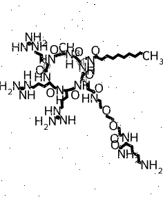 CCCCCCCCCC(=O)NC[C@@H]1NC(=O)[C@H](CCC(=O)NCCOCCOCC(=O)NC(CCCCN)C(N)=O)NC(=O)C(CCCNC(=N)N)NC(=O)C(CCCNC(=N)N)NC(=O)[C@H](CCCNC(=N)N)NC(=O)[C@H](C)NC1=O